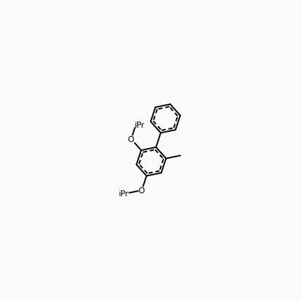 Cc1cc(OC(C)C)cc(OC(C)C)c1-c1ccccc1